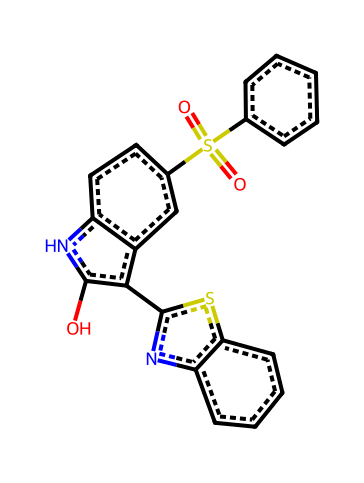 O=S(=O)(c1ccccc1)c1ccc2[nH]c(O)c(-c3nc4ccccc4s3)c2c1